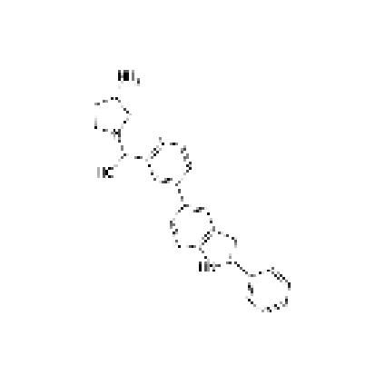 N[C@H]1CCN(C(O)c2cc(-c3cnc4[nH]c(-c5ccccc5)cc4c3)ccn2)C1